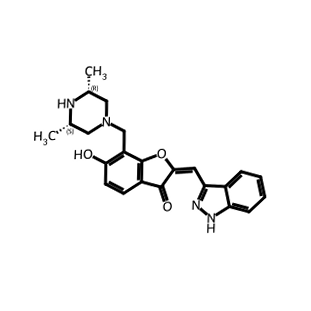 C[C@@H]1CN(Cc2c(O)ccc3c2OC(=Cc2n[nH]c4ccccc24)C3=O)C[C@H](C)N1